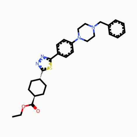 CCOC(=O)[C@H]1CC[C@H](c2nnc(-c3ccc(N4CCN(Cc5ccccc5)CC4)cc3)s2)CC1